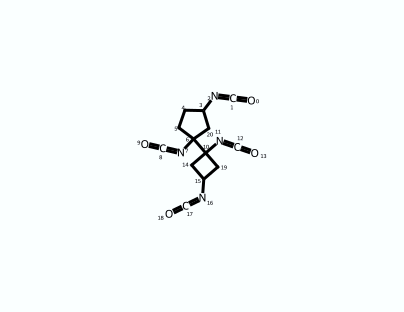 O=C=NC1CCC(N=C=O)(C2(N=C=O)CC(N=C=O)C2)C1